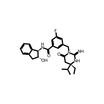 CC[C@@]1(C(C)C)CC(=O)N(Cc2cc(F)cc(C(=O)N[C@@H]3c4ccccc4C[C@H]3O)c2)C(=N)N1